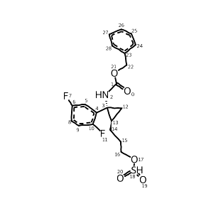 O=C(N[C@]1(c2cc(F)ccc2F)C[C@H]1CCCO[SH](=O)=O)OCc1ccccc1